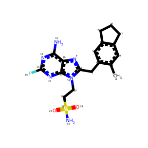 Cc1cc2c(cc1Cc1nc3c(N)nc(F)nc3n1CCS(N)(=O)=O)CCC2